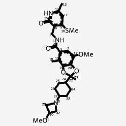 COc1cc(C(=O)NCc2c(SC)cc(C)[nH]c2=O)c(C)c2c1OC(C)(C1CCC(N3CC(OC)C3)CC1)O2